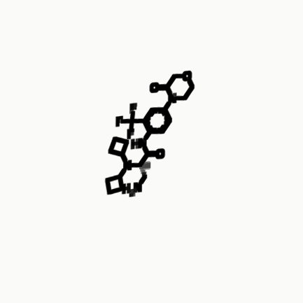 NC[C@@H](C(=O)Nc1ccc(N2CCOCC2=O)cc1C(F)(F)F)N(C1CCC1)C1CCC1